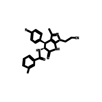 Cc1cccc(C(=O)N[C@H]2C(=O)Nc3c(c(C)nn3CCC#N)[C@@H]2c2ccc(F)cc2)c1